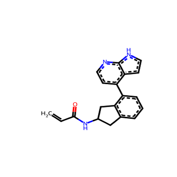 C=CC(=O)NC1Cc2cccc(-c3ccnc4[nH]ccc34)c2C1